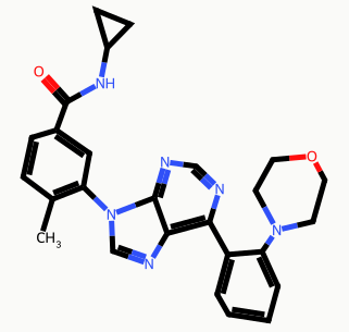 Cc1ccc(C(=O)NC2CC2)cc1-n1cnc2c(-c3ccccc3N3CCOCC3)ncnc21